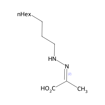 CCCCCCCCCN/N=C(/C)C(=O)O